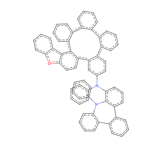 c1ccc(N(c2ccc3c4ccccc4c4ccccc4c4ccccc4c4c(ccc5oc6ccccc6c54)c3c2)c2cccc3c2N(c2ccccc2)c2ccccc2-c2ccccc2-3)cc1